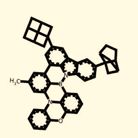 Cc1cc2c3c(c1)N1c4ccccc4Oc4cccc(c41)B3n1c3ccc(C45CC6CC4CCC65)cc3c3cc(C45CC6CC7CC(C4)C765)cc-2c31